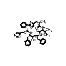 CC(C)[C@H](NC(=O)N(C)Cc1csc(-c2ccccc2)n1)C(=O)N[C@@H](Cc1ccccc1)C[C@H](O)[C@H](Cc1ccccc1)NC(=O)OCc1cnco1